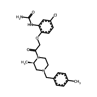 Cc1ccc(CN2CCN(C(=O)COc3ccc(Cl)cc3NC(N)=O)[C@H](C)C2)cc1